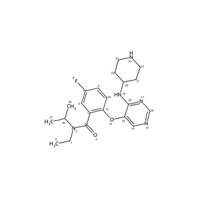 CCN(C(=O)c1cc(F)ccc1Oc1cncnc1NC1CCNCC1)C(C)C